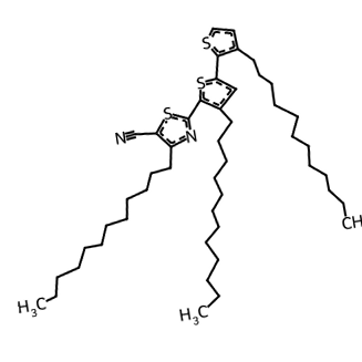 CCCCCCCCCCCCc1ccsc1-c1cc(CCCCCCCCCCCC)c(-c2nc(CCCCCCCCCCCC)c(C#N)s2)s1